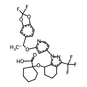 C[C@@H](Oc1cc(-n2nc(C(F)(F)F)c3c2C(OC2(C(=O)O)CCCCC2)CCC3)ccn1)c1ccc2c(c1)OC(F)(F)O2